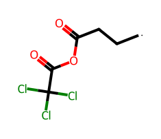 [CH2]CCC(=O)OC(=O)C(Cl)(Cl)Cl